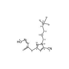 C=C(/C=N\O)Cc1cc(C#N)n(COCC[Si](C)(C)C)n1